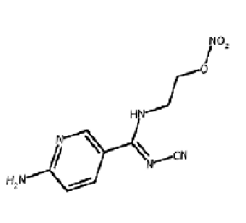 N#CN=C(NCCO[N+](=O)[O-])c1ccc(N)nc1